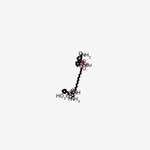 CC[C@H](C)[C@H](NC(=O)CCCCCCCCCCCCCCC(=O)N[C@@H](CC(N)=O)C(=O)N[C@@H](Cc1ccccc1)C(=O)O)C(=O)n1c2c(c3ccccc31)CCN(C(N)=O)C2